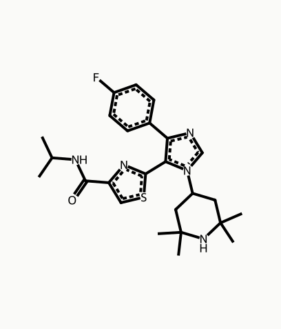 CC(C)NC(=O)c1csc(-c2c(-c3ccc(F)cc3)ncn2C2CC(C)(C)NC(C)(C)C2)n1